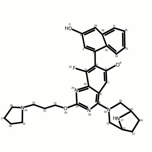 Oc1cc(-c2c(Cl)cc3c(N4CC5CCC(C4)N5)nc(OCCCN4CCCC4)nc3c2F)c2ccccc2c1